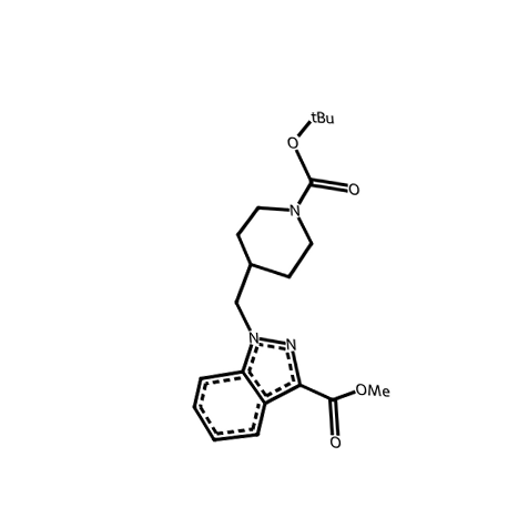 COC(=O)c1nn(CC2CCN(C(=O)OC(C)(C)C)CC2)c2ccccc12